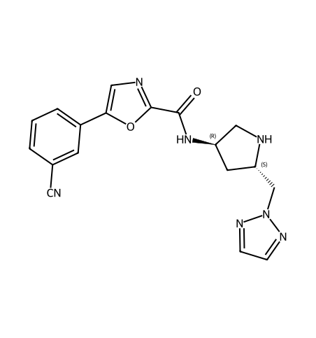 N#Cc1cccc(-c2cnc(C(=O)N[C@H]3CN[C@H](Cn4nccn4)C3)o2)c1